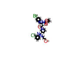 COCCCn1c([C@@H]2CCCN(C(=O)C[C@@H](Cc3ccc(Br)cc3)NC(=O)OC(C)(C)C)C2)nc2c(Cl)cccc21